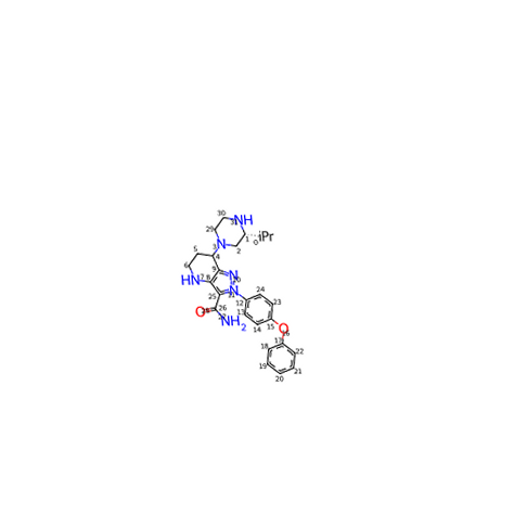 CC(C)[C@@H]1CN(C2CCNc3c2nn(-c2ccc(Oc4ccccc4)cc2)c3C(N)=O)CCN1